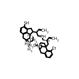 C=CC(CPC[C@@H](C=C)CC12CCN(C)C(Cc3cccc(CC)c31)C2C)C1Cc2c(S)ccc3c2[C@@]12CCN(C)[C@H](C3)C2C